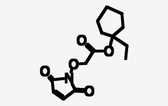 CCC1(OC(=O)CON2C(=O)C=CC2=O)CCCCC1